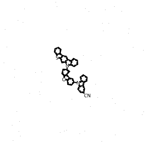 N#Cc1ccc2c(c1)c1ccccc1n2-c1ccc2oc3ccc(-n4c5ccccc5c5cc6c(cc54)sc4ccccc46)cc3c2c1